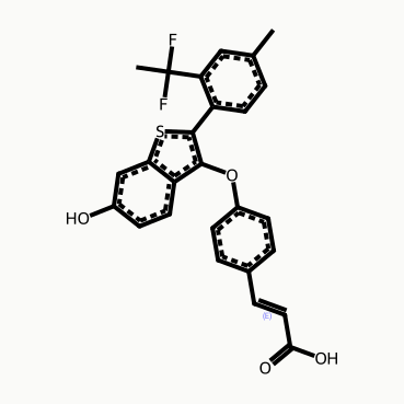 Cc1ccc(-c2sc3cc(O)ccc3c2Oc2ccc(/C=C/C(=O)O)cc2)c(C(C)(F)F)c1